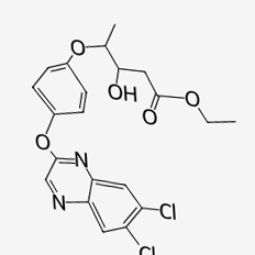 CCOC(=O)CC(O)C(C)Oc1ccc(Oc2cnc3cc(Cl)c(Cl)cc3n2)cc1